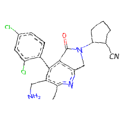 Cc1nc2c(c(-c3ccc(Cl)cc3Cl)c1CN)C(=O)N(C1CCCC1C#N)C2